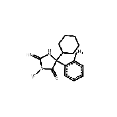 Cc1ccccc1C1(C2CCCCC2)NC(=N)N(C)C1=O